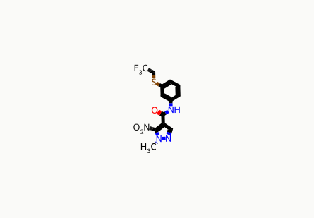 Cn1ncc(C(=O)Nc2cccc(SCC(F)(F)F)c2)c1[N+](=O)[O-]